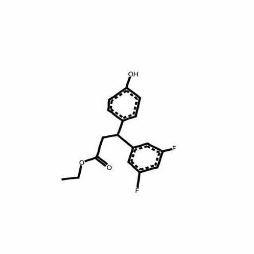 CCOC(=O)CC(c1ccc(O)cc1)c1cc(F)cc(F)c1